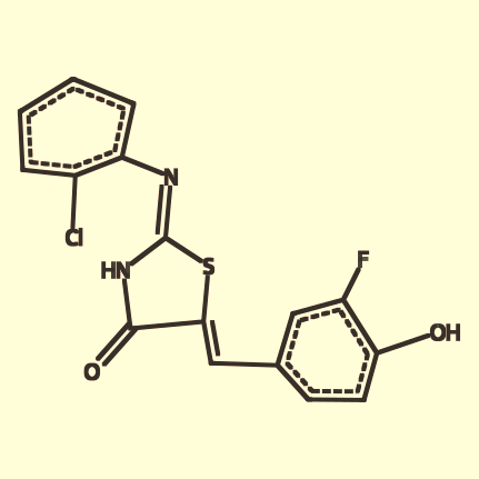 O=C1N/C(=N\c2ccccc2Cl)S/C1=C\c1ccc(O)c(F)c1